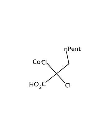 CCCCCCC(Cl)(Cl)C(=O)O.[Co]